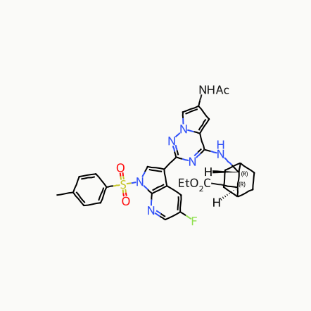 CCOC(=O)[C@@H]1C2CCC(CC2)[C@H]1Nc1nc(-c2cn(S(=O)(=O)c3ccc(C)cc3)c3ncc(F)cc23)nn2cc(NC(C)=O)cc12